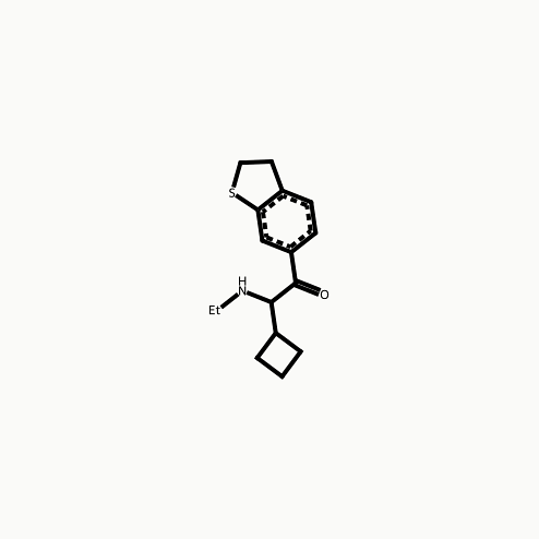 CCNC(C(=O)c1ccc2c(c1)SCC2)C1CCC1